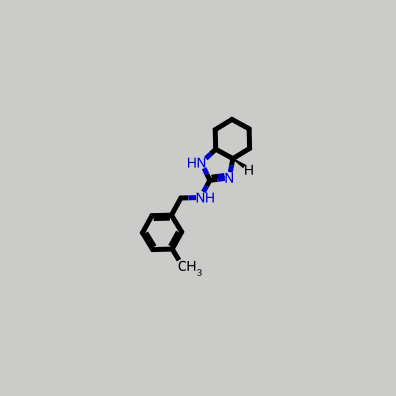 Cc1cccc(CNC2=N[C@H]3CCCCC3N2)c1